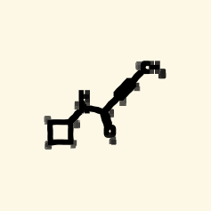 CC#CC(=O)NC1CCC1